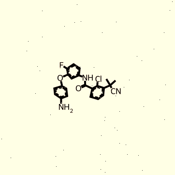 CC(C)(C#N)c1cccc(C(=O)Nc2ccc(F)c(Oc3ccc(N)cc3)c2)c1Cl